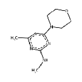 CNc1nc(C)cc(N2CCOCC2)n1